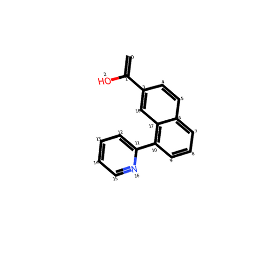 C=C(O)c1ccc2cccc(-c3ccccn3)c2c1